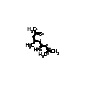 CC(=S)CC(C)CC(=N)CC(C)C